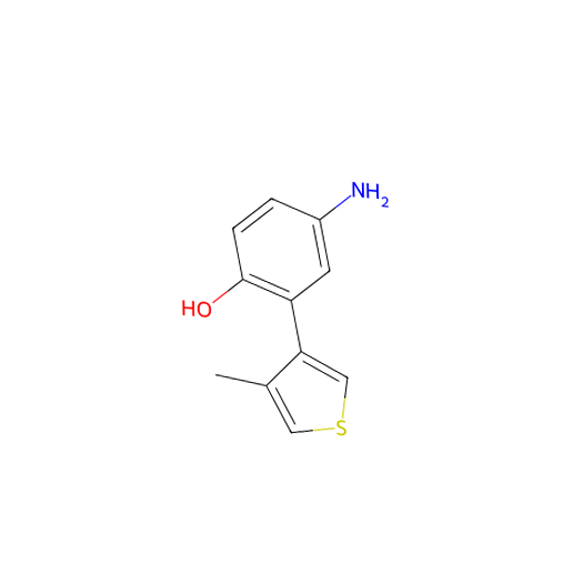 Cc1cscc1-c1cc(N)ccc1O